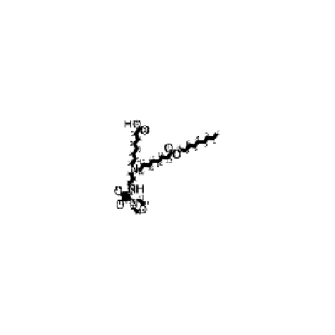 CCCCCCCCCOC(=O)CCCCCCCN(CCCCCCCC(=O)O)CCCNc1c(N2CCOCC2)c(=O)c1=O